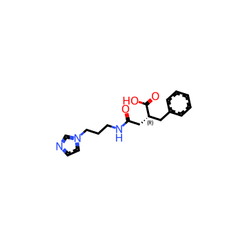 O=C(C[C@@H](Cc1ccccc1)C(=O)O)NCCCn1ccnc1